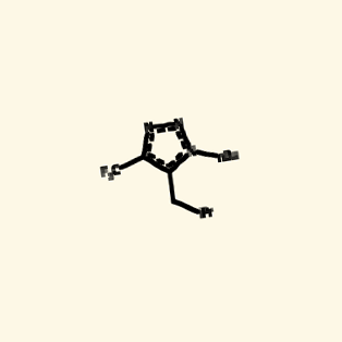 CCCCn1nnc(C(F)(F)F)c1CC(C)C